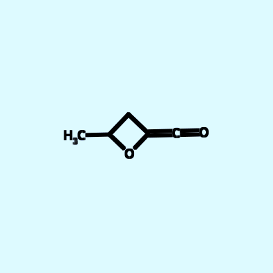 CC1CC(=C=O)O1